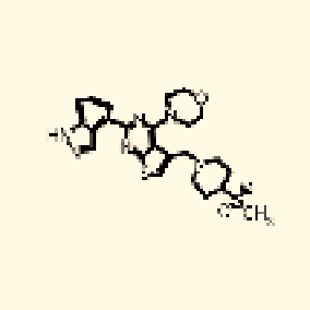 CS(=O)(=O)C1CCN(Cc2csc3nc(-c4cccc5[nH]ncc45)nc(N4CCOCC4)c23)CC1